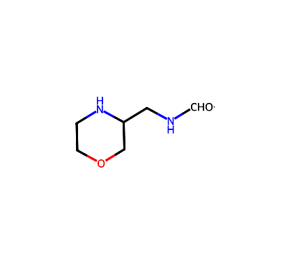 O=[C]NCC1COCCN1